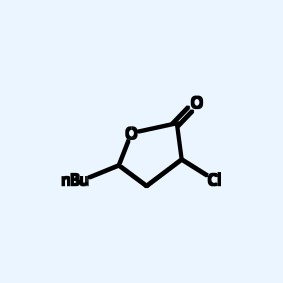 CCCCC1CC(Cl)C(=O)O1